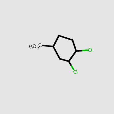 O=C(O)C1CCC(Cl)C(Cl)C1